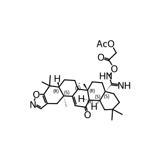 CC(=O)OCC(=O)ONC(=N)[C@]12CCC(C)(C)C[C@H]1[C@H]1C(=O)C=C3[C@@]4(C)Cc5cnoc5C(C)(C)[C@@H]4CC[C@@]3(C)[C@]1(C)CC2